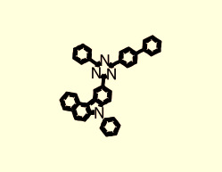 c1ccc(-c2ccc(-c3nc(-c4ccccc4)nc(-c4ccc5c(c4)c4c6ccccc6ccc4n5-c4ccccc4)n3)cc2)cc1